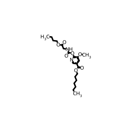 CCCCCCCOC(=O)c1cnc(OC(=O)NCC(=O)OCCCC)c(OC)c1